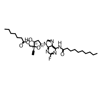 C#C[C@]1(COC(=O)CCCCCC)O[C@@H](n2cnc3c(NC(=O)CCCCCCCCC)nc(F)nc32)C[C@@H]1O